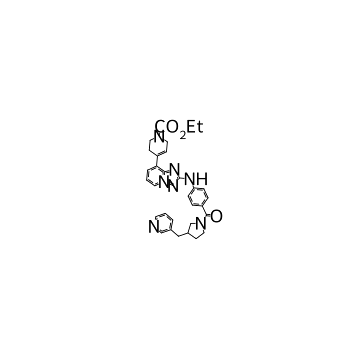 CCOC(=O)N1CC=C(c2cccn3nc(Nc4ccc(C(=O)N5CCC(Cc6cccnc6)C5)cc4)nc23)CC1